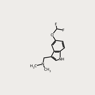 CN(C)Cc1c[nH]c2ccc(OC(F)F)cc12